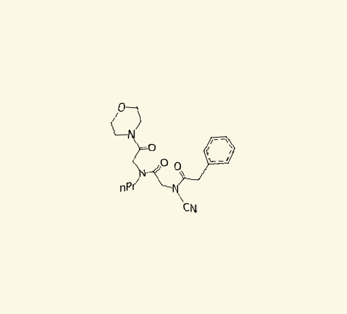 CCCN(CC(=O)N1CCOCC1)C(=O)CN(C#N)C(=O)Cc1ccccc1